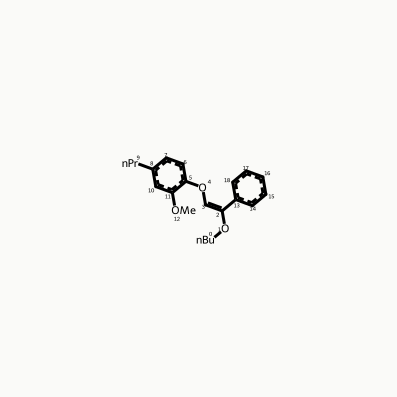 CCCCO/C(=C/Oc1ccc(CCC)cc1OC)c1ccccc1